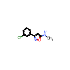 CNc1cc(-c2cccc(Cl)c2)no1